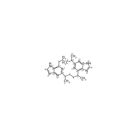 CCc1nc(C(C)CCC(C)c2nc(C(C)C)nc3[nH]cnc23)nc2nc[nH]c12